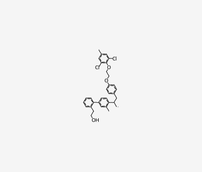 [CH2]C(Cc1ccc(OCCOc2c(Cl)cc(C)cc2Cl)cc1)c1ccc(-c2ccccc2CCO)cc1C